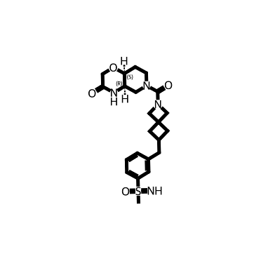 CS(=N)(=O)c1cccc(CC2CC3(C2)CN(C(=O)N2CC[C@@H]4OCC(=O)N[C@@H]4C2)C3)c1